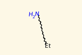 CC/C=C/C/C=C/C/C=C/C/C=C/C/C=C/CCCCN